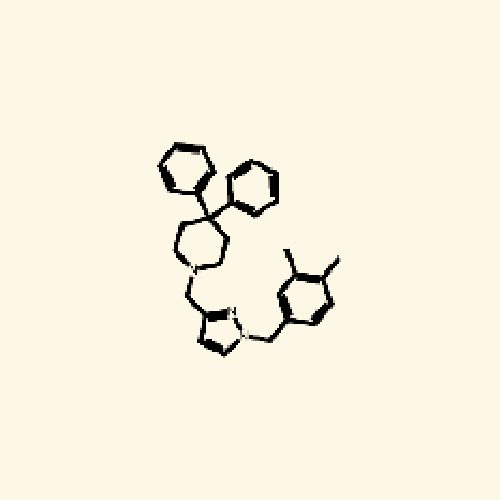 Cc1ccc(Cn2ccc(CN3CCC(c4ccccc4)(c4ccccc4)CC3)n2)cc1C